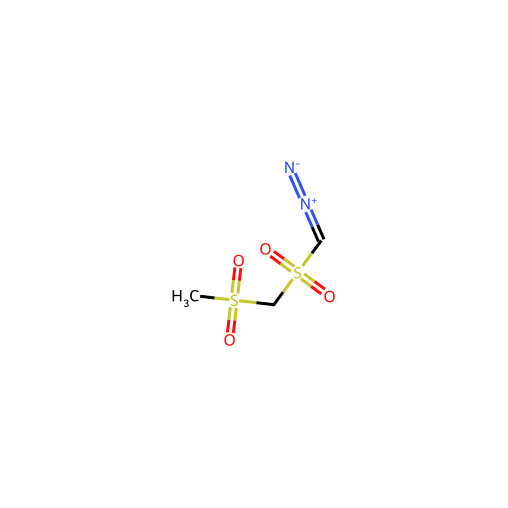 CS(=O)(=O)CS(=O)(=O)C=[N+]=[N-]